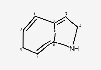 C1=CC2=CCNC2=CC1